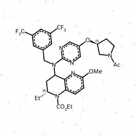 CCOC(=O)N1c2ccc(OC)nc2C(N(Cc2cc(C(F)(F)F)cc(C(F)(F)F)c2)c2ncc(O[C@H]3CCN(C(C)=O)C3)cn2)C[C@H]1CC